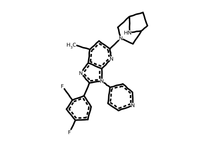 Cc1cc(N2CC3CCC(C2)N3)nc2c1nc(-c1ccc(F)cc1F)n2-c1ccncc1